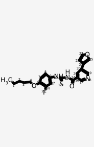 CCCCCOc1ccc(NC(=S)NC(=O)c2cncc(-c3ccoc3)c2)cc1F